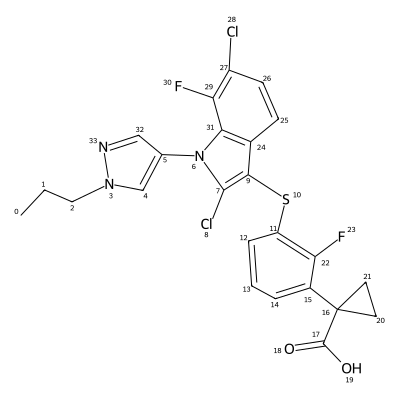 CCCn1cc(-n2c(Cl)c(Sc3cccc(C4(C(=O)O)CC4)c3F)c3ccc(Cl)c(F)c32)cn1